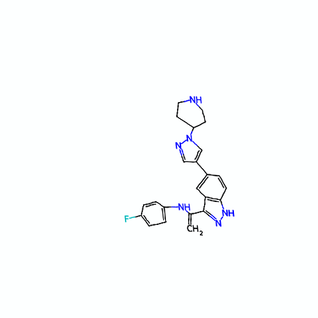 C=C(Nc1ccc(F)cc1)c1n[nH]c2ccc(-c3cnn(C4CCNCC4)c3)cc12